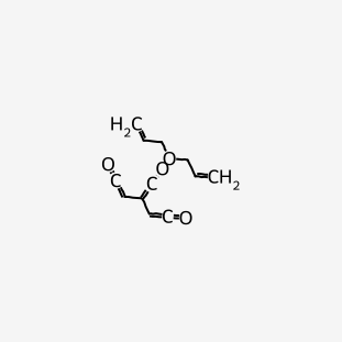 C=CCOCC=C.O=C=CC(=C=O)C=C=O